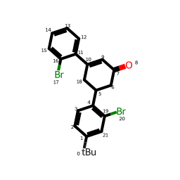 CC(C)(C)c1ccc(C2CC(=O)C=C(c3ccccc3Br)C2)c(Br)c1